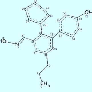 CCCc1cc(C=NO)c(-c2ccccc2)c(-c2ccc(O)cc2)c1